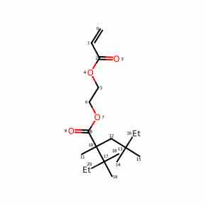 C=CC(=O)OCCOC(=O)C(C)(CC(C)(C)CC)C(C)(C)CC